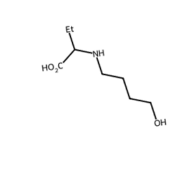 CCC(NCCCCO)C(=O)O